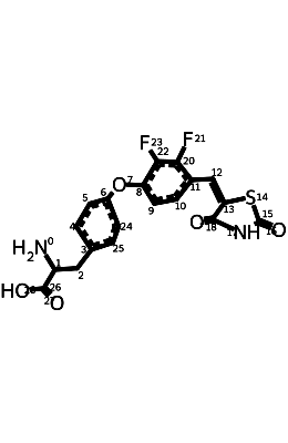 NC(Cc1ccc(Oc2ccc(/C=C3/SC(=O)NC3=O)c(F)c2F)cc1)C(=O)O